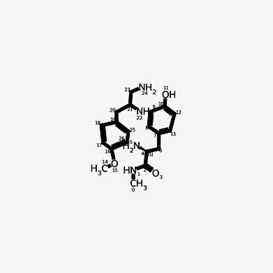 CNC(=O)[C@@H](N)Cc1ccc(O)cc1.COc1ccc(CC(N)CN)cc1